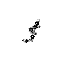 O=C(NCC1CCNC1)c1ccc(Nc2nc3c(N4CCC(O)(c5ccc(Cl)cc5)CC4)cccn3n2)cc1